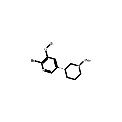 CCOc1cc([C@H]2CCCN(NC)C2)cnc1Br